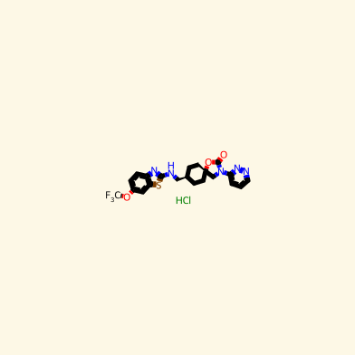 Cl.O=C1O[C@]2(CC[C@H](CNc3nc4ccc(OC(F)(F)F)cc4s3)CC2)CN1c1cccnn1